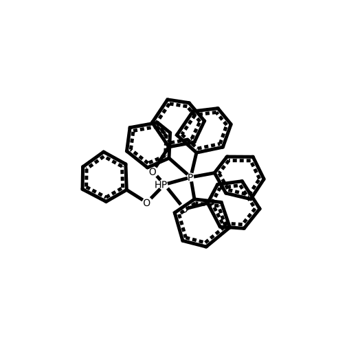 c1ccc(O[PH](Oc2ccccc2)(Oc2ccccc2)P(c2ccccc2)(c2ccccc2)(c2ccccc2)c2ccccc2)cc1